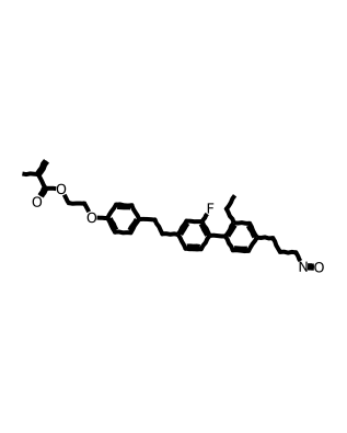 C=C(C)C(=O)OCCOc1ccc(CCc2ccc(-c3ccc(CCCN=O)cc3CC)c(F)c2)cc1